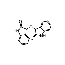 O=C1Nc2ccccc2C1OC1C(=O)Nc2ccccc21